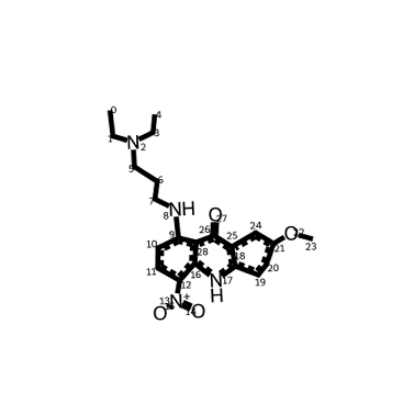 CCN(CC)CCCNc1ccc([N+](=O)[O-])c2[nH]c3ccc(OC)cc3c(=O)c12